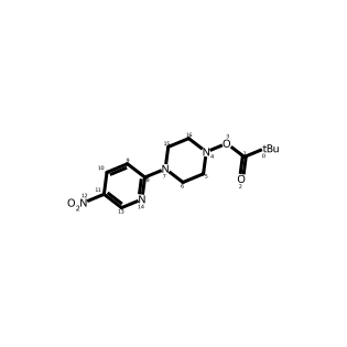 CC(C)(C)C(=O)ON1CCN(c2ccc([N+](=O)[O-])cn2)CC1